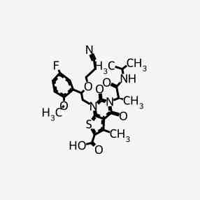 COc1ccc(F)cc1C(Cn1c(=O)n([C@H](C)C(=O)NC(C)C)c(=O)c2c(C)c(C(=O)O)sc21)OCCC#N